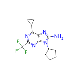 Nc1nc2c(C3CC3)nc(C(F)(F)F)nc2n1C1CCCC1